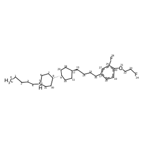 CCCCC[SiH]1CCC([C@H]2CC[C@H](CCCCc3ccc(OCCF)c(F)c3)CC2)CC1